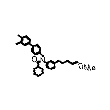 COCCCCCc1cccc(N(Cc2ccc(-c3ccc(C)c(C)c3)cc2)C(=O)C2CCCCC2)c1